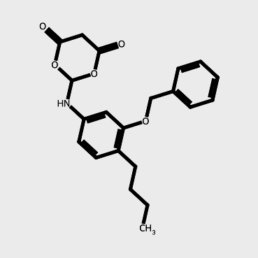 CCCCc1ccc(NC2OC(=O)CC(=O)O2)cc1OCc1ccccc1